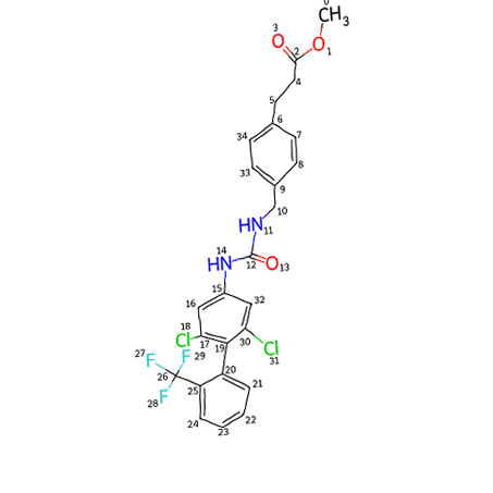 COC(=O)CCc1ccc(CNC(=O)Nc2cc(Cl)c(-c3ccccc3C(F)(F)F)c(Cl)c2)cc1